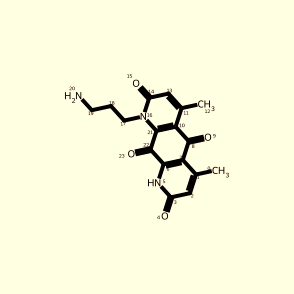 Cc1cc(=O)[nH]c2c1C(=O)c1c(C)cc(=O)n(CCCN)c1C2=O